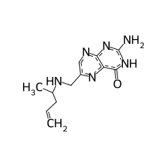 C=CCC(C)NCc1cnc2nc(N)[nH]c(=O)c2n1